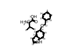 CC(C)[C@H](N)C(=O)O.c1ccc(COc2ccc3[nH]ccc3c2)cc1